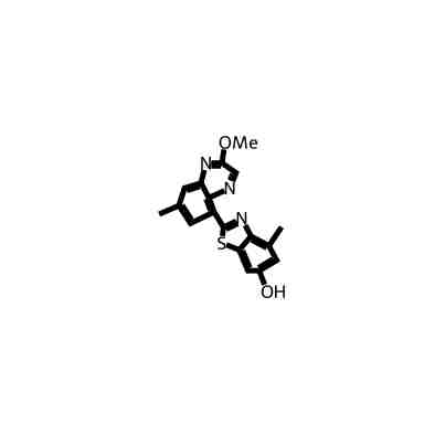 COc1cnc2c(-c3nc4c(C)cc(O)cc4s3)cc(C)cc2n1